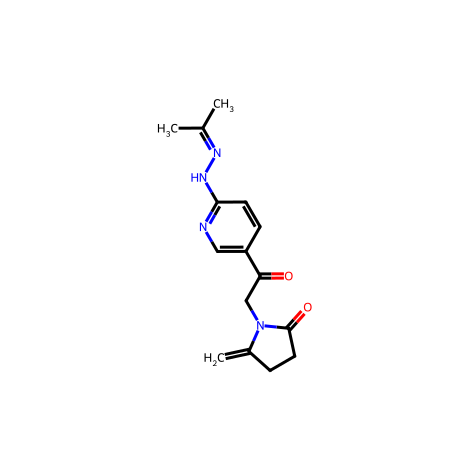 C=C1CCC(=O)N1CC(=O)c1ccc(NN=C(C)C)nc1